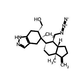 C=C1CC[C@H]2[C@H](CN=[N+]=[N-])[C@@H]([C@@]3(C)Cc4cn[nH]c4C[C@@H]3CO)CC[C@]12C